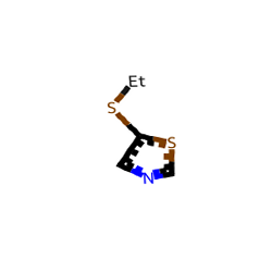 CCSc1cncs1